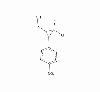 O=[N+]([O-])c1ccc(C2C(CO)C2(Cl)Cl)cc1